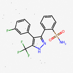 NS(=O)(=O)c1ccccc1-c1n[nH]c(C(F)(F)F)c1-c1cccc(F)c1